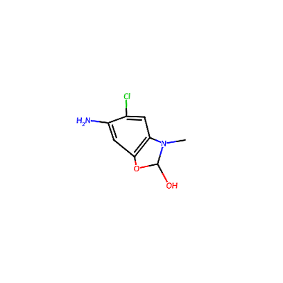 CN1c2cc(Cl)c(N)cc2OC1O